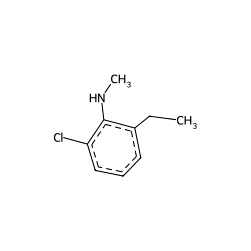 CCc1cccc(Cl)c1NC